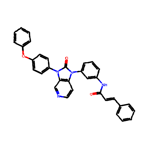 O=C(/C=C/c1ccccc1)Nc1cccc(-n2c(=O)n(-c3ccc(Oc4ccccc4)cc3)c3cnccc32)c1